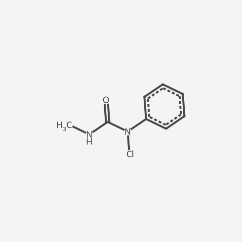 CNC(=O)N(Cl)c1ccccc1